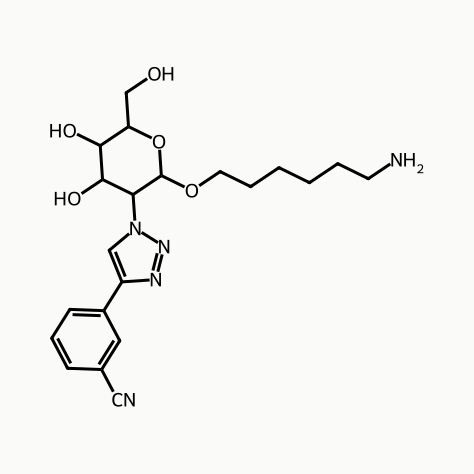 N#Cc1cccc(-c2cn(C3C(OCCCCCCN)OC(CO)C(O)C3O)nn2)c1